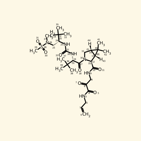 C=CCNC(=O)C(=O)CNC(=O)[C@@H]1[C@@H]2[C@H](CN1C(=O)[C@@H](NC(=O)N[C@H](CN(C)S(C)(=O)=O)C(C)(C)C)C(C)(C)C)C2(C)C